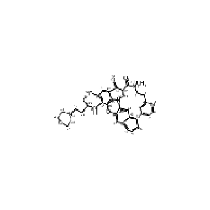 CN(CCc1ccccn1)C(=O)c1cn2c3c(c(NC(=O)CCN4CCOCC4)c(F)cc3c1=O)Oc1cc3ccccc3cc1-2